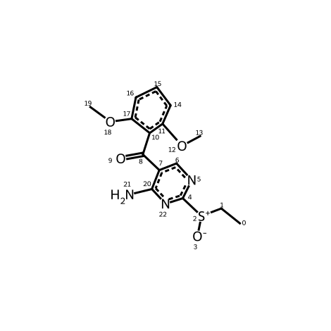 CC[S+]([O-])c1ncc(C(=O)c2c(OC)cccc2OC)c(N)n1